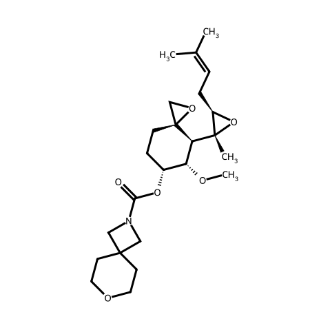 CO[C@@H]1[C@H](OC(=O)N2CC3(CCOCC3)C2)CC[C@]2(CO2)[C@H]1[C@@]1(C)O[C@@H]1CC=C(C)C